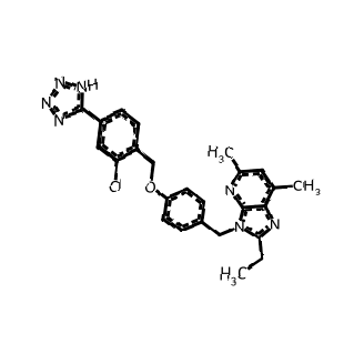 CCc1nc2c(C)cc(C)nc2n1Cc1ccc(OCc2ccc(-c3nnn[nH]3)cc2Cl)cc1